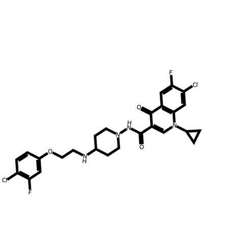 O=C(NN1CCC(NCCOc2ccc(Cl)c(F)c2)CC1)c1cn(C2CC2)c2cc(Cl)c(F)cc2c1=O